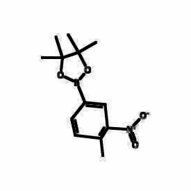 Cc1ccc(B2OC(C)(C)C(C)(C)O2)cc1[N+](=O)[O-]